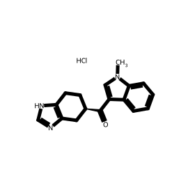 Cl.Cn1cc(C(=O)[C@@H]2CCc3[nH]cnc3C2)c2ccccc21